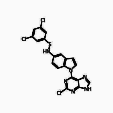 Clc1cc(Cl)cc(SNc2ccc3c(ccn3-c3nc(Cl)nc4[nH]cnc34)c2)c1